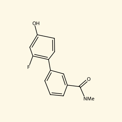 CNC(=O)c1cccc(-c2ccc(O)cc2F)c1